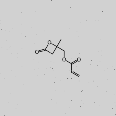 C=CC(=O)OCC1(C)CC(=O)O1